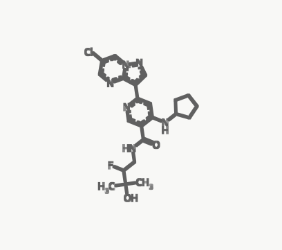 CC(C)(O)C(F)CNC(=O)c1cnc(-c2cnn3cc(Cl)cnc23)cc1NC1CCCC1